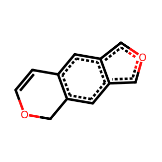 C1=Cc2cc3cocc3cc2CO1